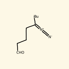 CCC(C)C(CCCC=O)=[N+]=[N-]